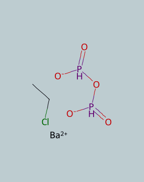 CCCl.O=[PH]([O-])O[PH](=O)[O-].[Ba+2]